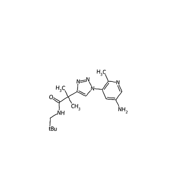 Cc1ncc(N)cc1-n1cc(C(C)(C)C(=O)NCC(C)(C)C)nn1